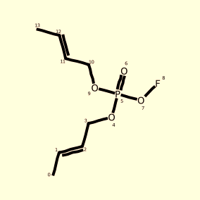 CC=CCOP(=O)(OF)OCC=CC